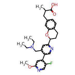 CCN(CC)Cc1cc(C2CCc3ccc(CC(C)C(=O)O)cc3O2)ncc1-c1cc(OC)ncc1F